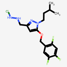 CC(C)CCn1nc(CNNCl)cc1OCc1cc(F)c(F)cc1F